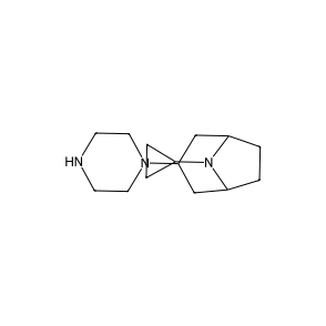 C1CN(C2CC3CCC(C2)N3C2CC2)CCN1